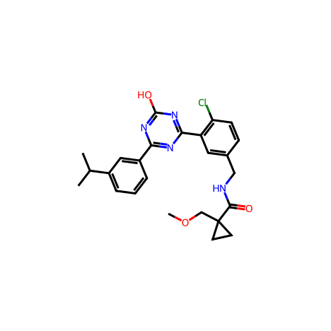 COCC1(C(=O)NCc2ccc(Cl)c(-c3nc(O)nc(-c4cccc(C(C)C)c4)n3)c2)CC1